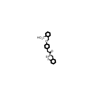 CCN(Cc1ccccc1F)C(=O)Cc1ccc(OCc2ccccc2C(=O)O)cc1